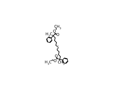 CCOC(=O)C(C)(CCCCSCCCCC(C)(C(=O)OCC)c1ccccc1)c1ccccc1